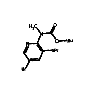 CCCc1cc(Br)cnc1N(C)C(=O)OC(C)(C)C